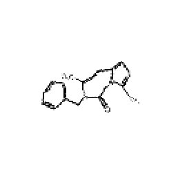 Cc1cc2cnc(C)n2c(=O)n1Cc1ccccc1